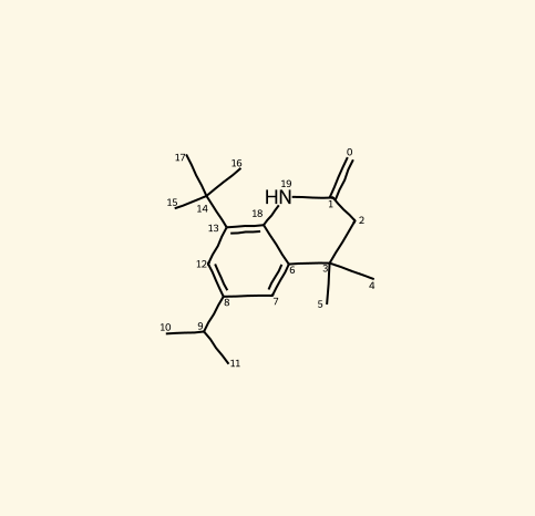 C=C1CC(C)(C)c2cc(C(C)C)cc(C(C)(C)C)c2N1